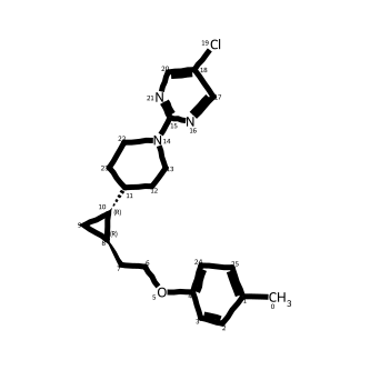 Cc1ccc(OCC[C@H]2C[C@@H]2C2CCN(c3ncc(Cl)cn3)CC2)cc1